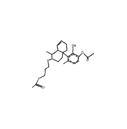 CC(=O)Oc1ccc(C)c(C23CCC=CC2C(C)N(SCCCSC(C)=O)CC3)c1O